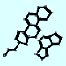 C1=Cc2ccc3c(c2=C1)=CCO3.ClCC[C@H]1C=CC2=C(CC=c3c2ccc2c3=CC=CC2)C1